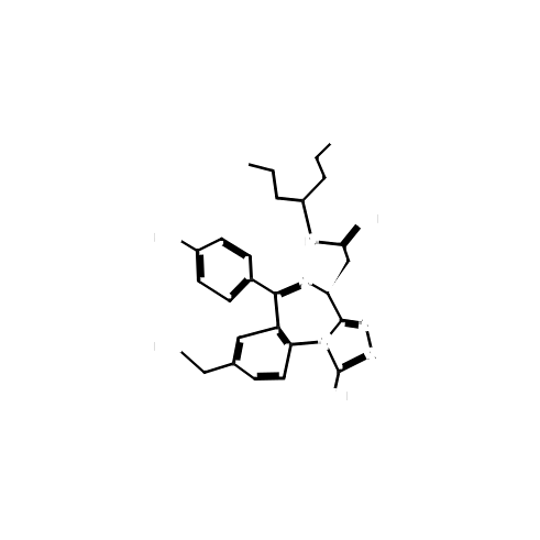 C=C(C[C@@H]1N=C(c2ccc(C)cc2)c2cc(CC)ccc2-n2c(C)nnc21)NC(CCC)CCC